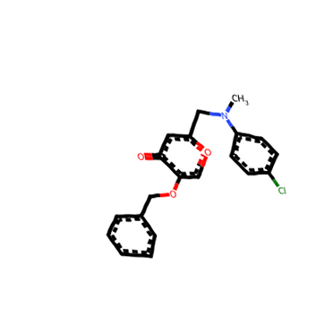 CN(Cc1cc(=O)c(OCc2ccccc2)co1)c1ccc(Cl)cc1